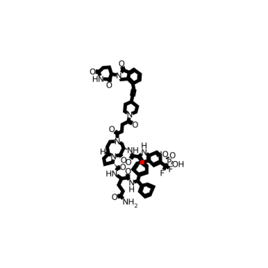 NC(=O)CCC(NC(=O)[C@@H]1CC[C@@H]2CCN(C(=O)CCC(=O)N3CCC(C#Cc4cccc5c4CN(C4CCC(=O)NC4=O)C5=O)CC3)C[C@H](NC(=O)c3cc4cc(C(F)(F)P(=O)(O)O)ccc4[nH]3)C(=O)N21)C(=O)NC(c1ccccc1)c1ccccc1